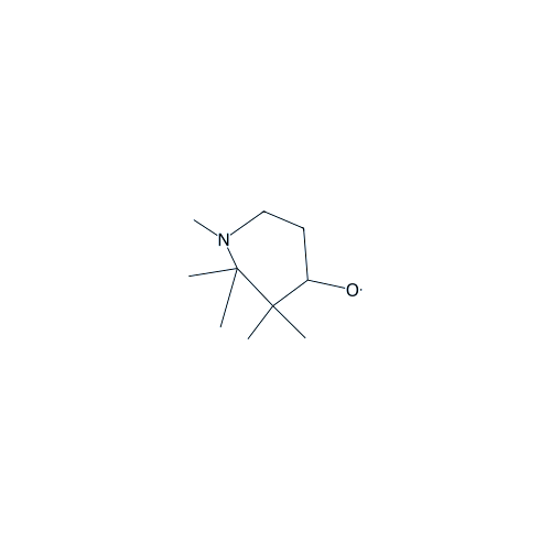 CN1CCC([O])C(C)(C)C1(C)C